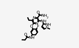 CCC(=O)NC1C=C(Oc2nc(NC3C=CN(C)N3)c(C(N)=O)nc2CC)C(F)=CC1